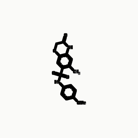 COc1ccc(NS(=O)(=O)c2cc3c(cc2C)NC(=O)CO3)cc1